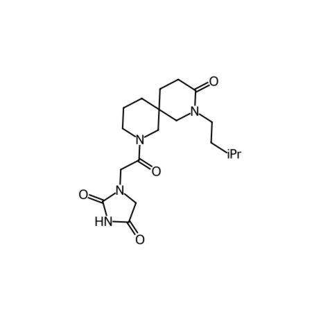 CC(C)CCN1CC2(CCCN(C(=O)CN3CC(=O)NC3=O)C2)CCC1=O